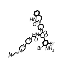 CN(C)CCCN1CCN(C2CCN(CC(=O)N[C@H](CC(=O)c3cc(Br)c(N)c(Br)c3)C(=O)N3CCC(N4CCc5ccccc5NC4=O)CC3)CC2)CC1